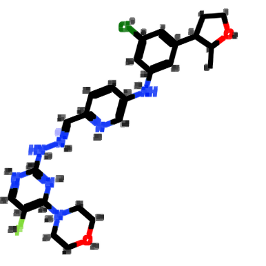 CC1OCCC1c1cc(Cl)cc(Nc2ccc(/C=N/Nc3ncc(F)c(N4CCOCC4)n3)nc2)c1